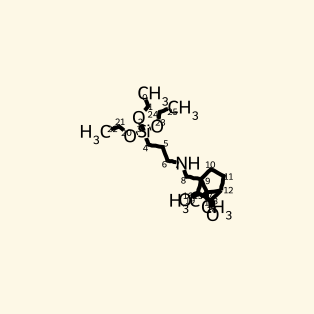 CCO[Si](CCCNCC12CCC(C(=O)C1=O)C2(C)C)(OCC)OCC